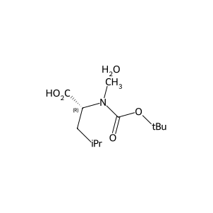 CC(C)C[C@H](C(=O)O)N(C)C(=O)OC(C)(C)C.O